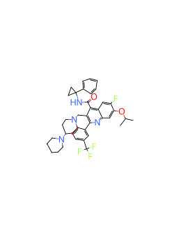 CC(C)Oc1cc2nc(-c3cccc(C(F)(F)F)c3)c(CN3CCC(N4CCCCC4)CC3)c(C(=O)NC3(c4ccccc4)CC3)c2cc1F